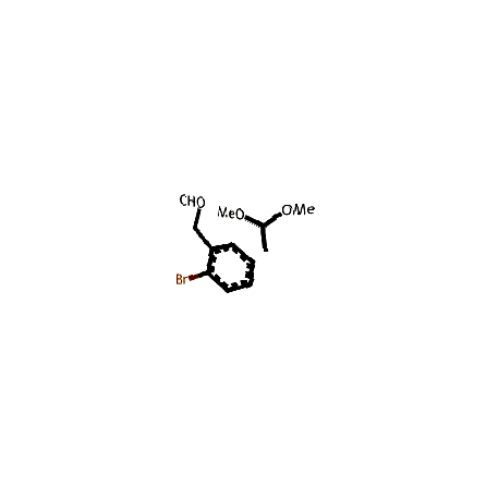 COC(C)OC.O=CCc1ccccc1Br